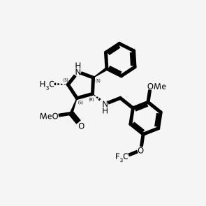 COC(=O)[C@@H]1[C@@H](NCc2cc(OC(F)(F)F)ccc2OC)[C@H](c2ccccc2)N[C@H]1C